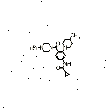 CCCN1CCN(C(=O)c2ccc(NC(=O)C3CC3)cc2N2CCC(C)CC2)CC1